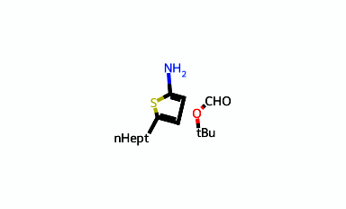 CC(C)(C)OC=O.CCCCCCCc1ccc(N)s1